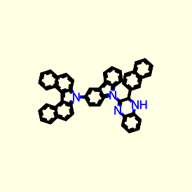 c1ccc2c(c1)N=C(n1c3ccccc3c3cc(-n4c5ccc6ccccc6c5c5c6ccccc6ccc54)ccc31)C(c1ccc3ccccc3c1)N2